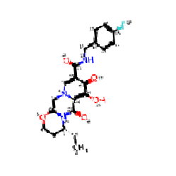 CC[C@@H]1CCOC2Cn3cc(C(=O)NCc4ccc(F)cc4)c(=O)c(O)c3C(=O)N21